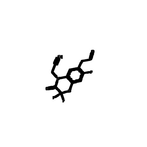 C#CCN1C(=O)C(F)(F)Oc2cc(F)c(CC=O)cc21